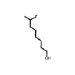 CC(F)CCCCCCO